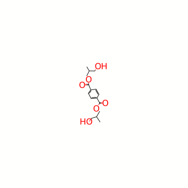 CC(CO)COC(=O)c1ccc(C(=O)OCC(C)CO)cc1